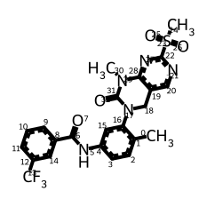 Cc1ccc(NC(=O)c2cccc(C(F)(F)F)c2)cc1N1Cc2cnc(S(C)(=O)=O)nc2N(C)C1=O